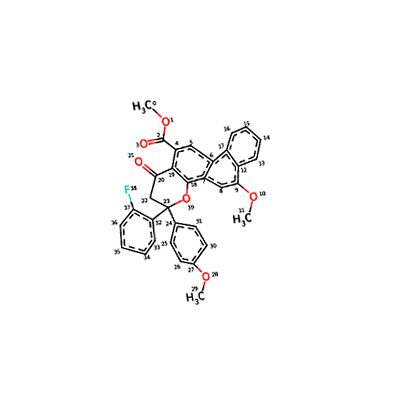 COC(=O)c1cc2c(cc(OC)c3ccccc32)c2c1C(=O)CC(c1ccc(OC)cc1)(c1ccccc1F)O2